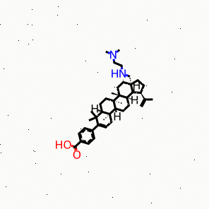 C=C(C)[C@@H]1CC[C@]2(CNCCN(C)C)CC[C@]3(C)[C@H](CC[C@@H]4[C@@]5(C)CC=C(c6ccc(C(=O)O)cc6)C(C)(C)[C@@H]5CC[C@]43C)[C@@H]12